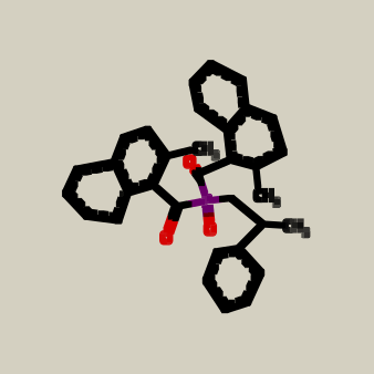 Cc1ccc2ccccc2c1C(=O)P(=O)(CC(C)c1ccccc1)C(=O)c1c(C)ccc2ccccc12